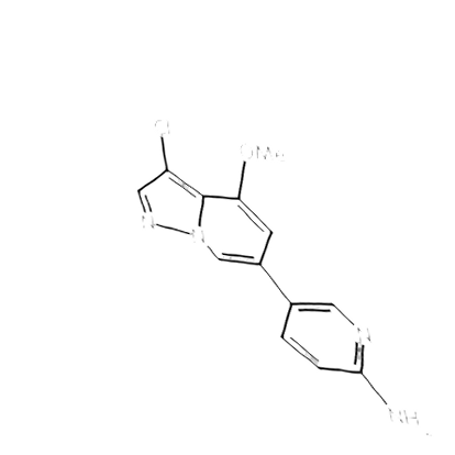 COc1cc(-c2ccc(N)nc2)cn2ncc(Cl)c12